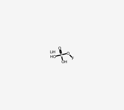 O=P(O)(O)OF.[LiH]